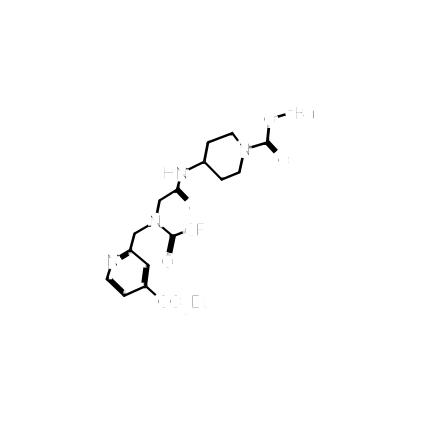 CCOC(=O)c1ccnc(CN(CC(=O)NC2CCN(C(=O)OC(C)(C)C)CC2)C(=O)C(F)(F)F)c1